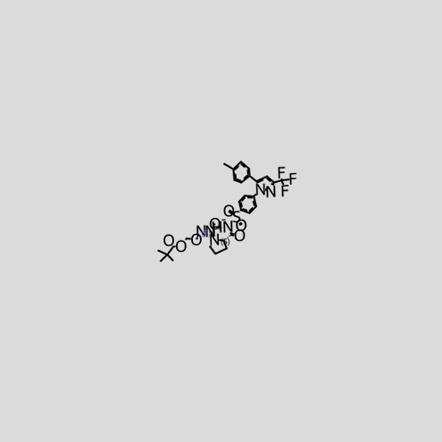 Cc1ccc(-c2cc(C(F)(F)F)nn2-c2ccc(S(=O)(=O)NC(=O)[C@@H]3CCCN3/[N+]([O-])=N\OCOC(=O)C(C)(C)C)cc2)cc1